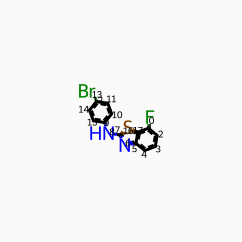 Fc1cccc2nc(Nc3ccc(Br)cc3)sc12